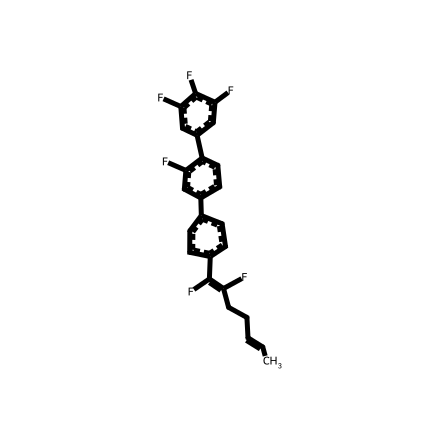 C/C=C/CC/C(F)=C(\F)c1ccc(-c2ccc(-c3cc(F)c(F)c(F)c3)c(F)c2)cc1